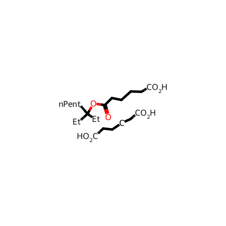 CCCCCC(CC)(CC)OC(=O)CCCCC(=O)O.O=C(O)CCCCC(=O)O